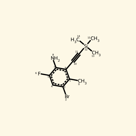 Cc1c(Br)cc(F)c(N)c1C#C[Si](C)(C)C